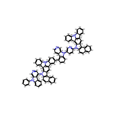 c1ccc(-n2c3ccccc3c3c(-n4c5ccc6ccccc6c5c5cc6c7cc(-c8cccc9c8c8ccncc8n9-c8ccc(-n9c%10ccc%11ccccc%11c%10c%10cc%11c%12ccccc%12n%12c%13ccccc%13c(c%109)c%11%12)nc8)ccc7n7c8ccccc8c(c54)c67)cncc32)cc1